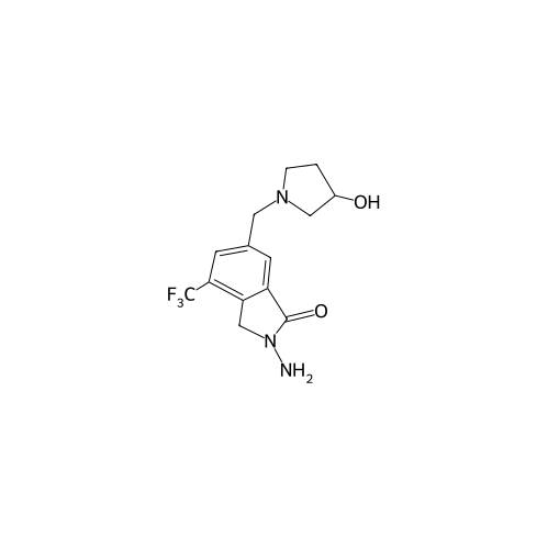 NN1Cc2c(cc(CN3CCC(O)C3)cc2C(F)(F)F)C1=O